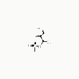 CCC(OS(C)(=O)=O)C(C)CO